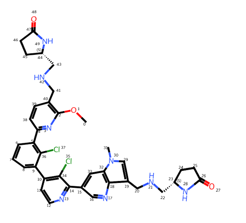 COc1nc(-c2cccc(-c3ccnc(-c4cnc5c(CNC[C@@H]6CCC(=O)N6)cn(C)c5c4)c3Cl)c2Cl)ccc1CNC[C@@H]1CCC(=O)N1